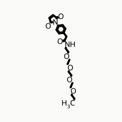 CCCOCCOCCOCCOCCNC(=O)Cc1ccc(N2C(=O)C=CC2=O)cc1